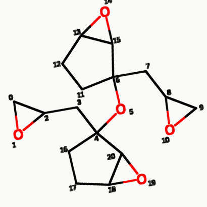 C1OC1CC1(OC2(CC3CO3)CCC3OC32)CCC2OC21